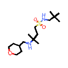 CC(C)(C)CNS(=O)(=O)CCC(C)(C)NCC1CCOCC1